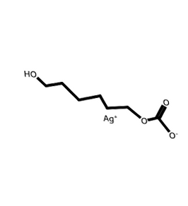 O=C([O-])OCCCCCCO.[Ag+]